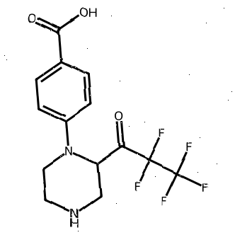 O=C(O)c1ccc(N2CCNCC2C(=O)C(F)(F)C(F)(F)F)cc1